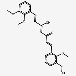 COc1cccc(/C=C/C(O)=C/C(=O)/C=C/c2cccc(CO)c2OC)c1OC